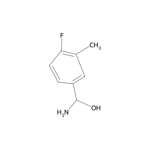 Cc1cc(C(N)O)ccc1F